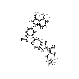 Nc1ncnn2c(-c3ccc(CF)c(C(=O)N[C@@H]4CN(C(=O)C5CCC(F)(F)CC5)C[C@@H]4F)c3)cc(C(F)(F)F)c12